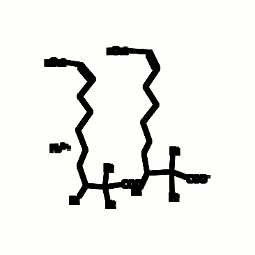 CCCCCCCC/C=C\CCCCCC(CC)C(CC)(CC)C(=O)[O-].CCCCCCCC/C=C\CCCCCC(CC)C(CC)(CC)C(=O)[O-].[Pb+2]